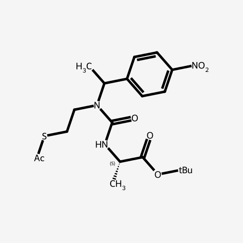 CC(=O)SCCN(C(=O)N[C@@H](C)C(=O)OC(C)(C)C)C(C)c1ccc([N+](=O)[O-])cc1